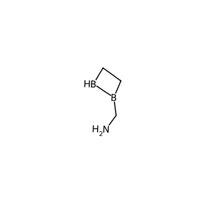 NCB1BCC1